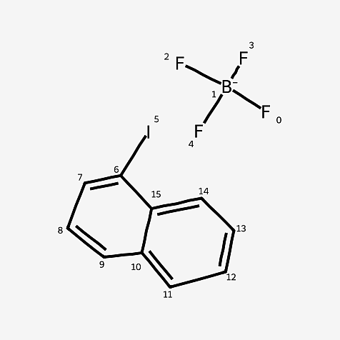 F[B-](F)(F)F.Ic1cccc2ccccc12